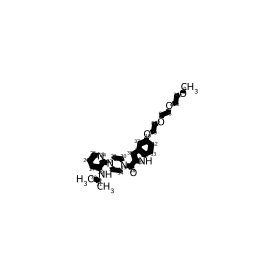 COCCOCCOCCOc1ccc2[nH]c(C(=O)N3CCN(c4ncccc4NC(C)C)CC3)cc2c1